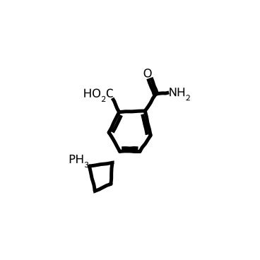 C1CCC1.NC(=O)c1ccccc1C(=O)O.P